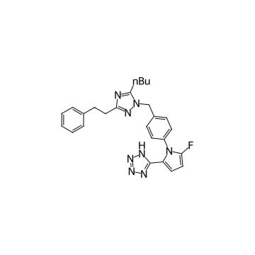 CCCCc1nc(CCc2ccccc2)nn1Cc1ccc(-n2c(F)ccc2-c2nnn[nH]2)cc1